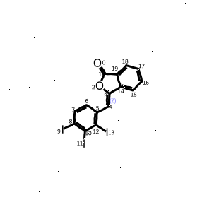 O=C1O/C(=C\c2ccc(I)c(I)c2I)c2ccccc21